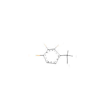 CC(C)(C)c1ccc(P)c(P)c1P